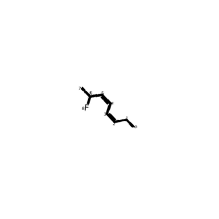 CC/C=C\C=C/C(C)F